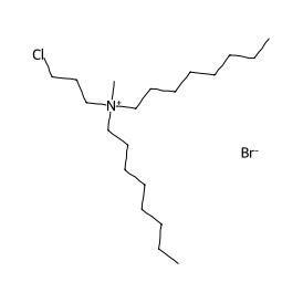 CCCCCCCC[N+](C)(CCCCl)CCCCCCCC.[Br-]